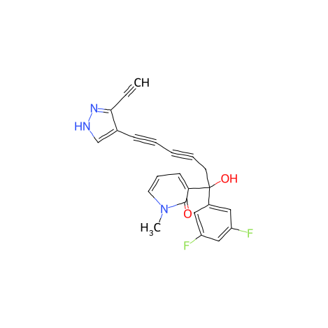 C#Cc1n[nH]cc1C#CC#CCC(O)(c1cc(F)cc(F)c1)c1cccn(C)c1=O